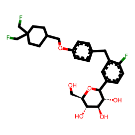 OC[C@H]1OC(c2ccc(F)c(Cc3ccc(OCC4CCC(CF)(CF)CC4)cc3)c2)[C@H](O)[C@@H](O)[C@@H]1O